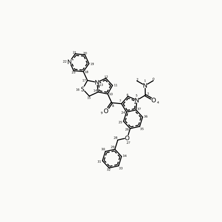 CN(C)C(=O)n1cc(C(=O)c2ccn3c2CSC3c2cccnc2)c2cc(OCc3ccccc3)ccc21